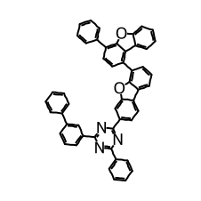 c1ccc(-c2cccc(-c3nc(-c4ccccc4)nc(-c4ccc5c(c4)oc4c(-c6ccc(-c7ccccc7)c7oc8ccccc8c67)cccc45)n3)c2)cc1